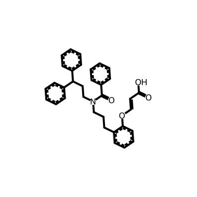 O=C(O)C=COc1ccccc1CCCN(CCC(c1ccccc1)c1ccccc1)C(=O)c1ccccc1